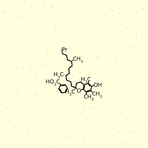 Cc1c(C)c2c(c(C)c1O)CC[C@@](C)(CCC[C@H](C)CCC[C@H](C)CCCC(C)C)O2.O=C(O)c1ccccc1